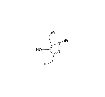 CC(C)Cc1nn(C(C)C)c(CC(C)C)c1O